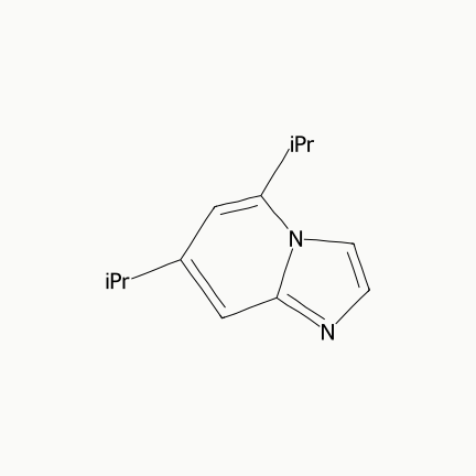 CC(C)c1cc(C(C)C)n2ccnc2c1